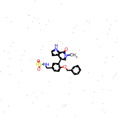 Cn1cc(-c2cc(CN[SH](=O)=O)ccc2OCc2ccccc2)c2cc[nH]c2c1=O